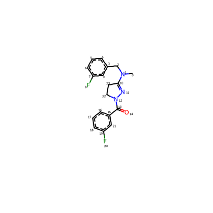 CN(Cc1cccc(F)c1)C1=NN(C(=O)c2cccc(F)c2)CC1